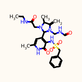 C=C1C(C)N(CC(=O)NCC)C(c2cc(C)[nH]c(=O)c2NS(=O)(=O)Cc2ccccc2)N1CNC=O